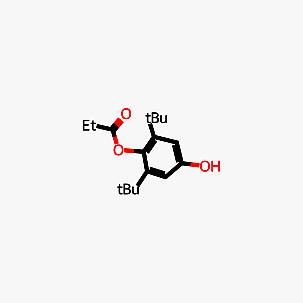 CCC(=O)Oc1c(C(C)(C)C)cc(O)cc1C(C)(C)C